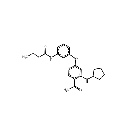 CCOC(=O)Nc1cccc(Nc2ncc(C(N)=O)c(NC3CCCC3)n2)c1